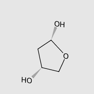 O[C@H]1CO[C@@H](O)C1